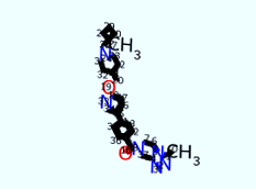 Cc1nnc2n1CCN(C(=O)c1ccc(-c3ccc(OCC4CCN(CC5(C)CCC5)CC4)nc3)cc1)C2